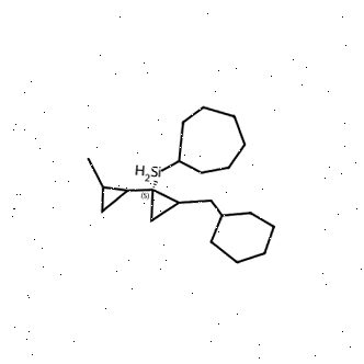 CC1CC1[C@]1([SiH2]C2CCCCCC2)CC1CC1CCCCC1